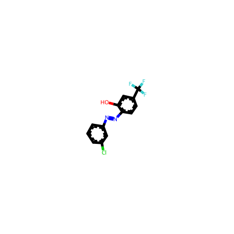 Oc1cc(C(F)(F)F)ccc1N=Nc1cccc(Cl)c1